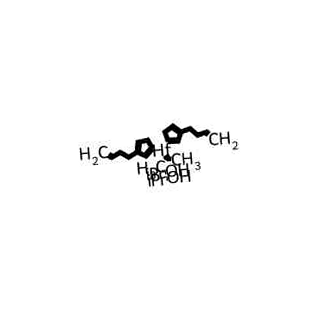 C=CCCC1=CC[C]([Hf]([C]2=CC(CCC=C)=CC2)=[C](C)C)=C1.CC(C)O.CC(C)O